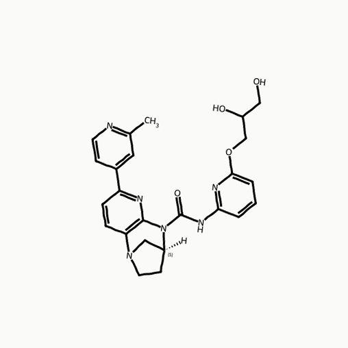 Cc1cc(-c2ccc3c(n2)N(C(=O)Nc2cccc(OCC(O)CO)n2)[C@H]2CCN3C2)ccn1